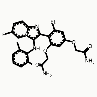 CCc1cc(OCC(N)=O)cc(OCC(N)=O)c1-c1nc2ccc(F)cn2c1Nc1c(C)cccc1C